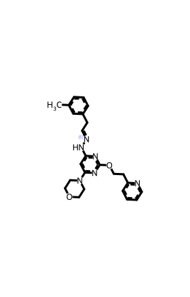 Cc1cccc(C/C=N/Nc2cc(N3CCOCC3)nc(OCCc3ccccn3)n2)c1